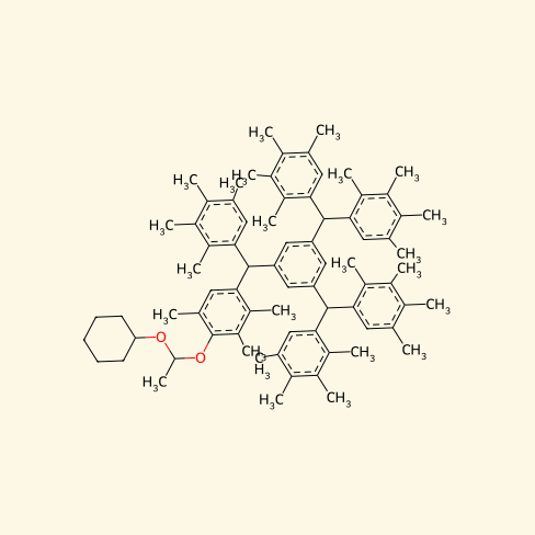 Cc1cc(C(c2cc(C(c3cc(C)c(C)c(C)c3C)c3cc(C)c(C)c(C)c3C)cc(C(c3cc(C)c(C)c(C)c3C)c3cc(C)c(OC(C)OC4CCCCC4)c(C)c3C)c2)c2cc(C)c(C)c(C)c2C)c(C)c(C)c1C